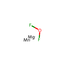 FOF.[Mg].[Mn]